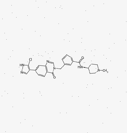 CN1CCC(NC(=O)c2cccc(Cn3cnc4cc(-c5cn[nH]c5Cl)ccc4c3=O)c2)CC1